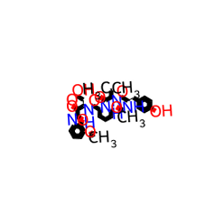 COc1cccc2nc(C(=O)[C@H](CC(=O)O)NC(=O)C3CCCCN3C(=O)[C@@H](NC(=O)[C@H](Cc3ccc(O)cc3)NC(C)=O)C(C)C)oc12